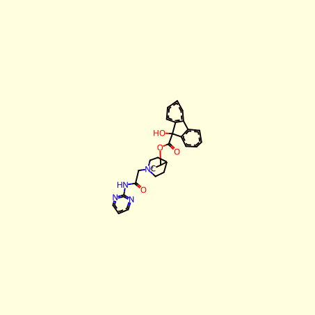 O=C(C[N+]12CCC(CC1)C(OC(=O)C1(O)c3ccccc3-c3ccccc31)C2)Nc1ncccn1